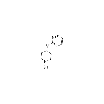 SN1CCC(Oc2ccccn2)CC1